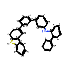 C1=CCCC(c2ccccc2Nc2cccc(-c3cccc(C4=Cc5c(sc6ccccc56)CC4)c3)c2)=C1